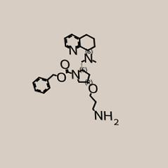 CN(C[C@@H]1C[C@@H](OCCCN)CN1C(=O)OCc1ccccc1)[C@H]1CCCc2cccnc21